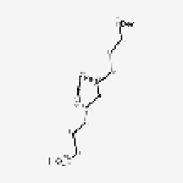 CCCCCCCCCCCCCCCCCCCC(=O)O.CCCCCCl